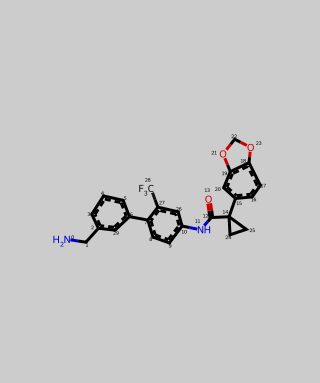 NCc1cccc(-c2ccc(NC(=O)C3(c4ccc5c(c4)OCO5)CC3)cc2C(F)(F)F)c1